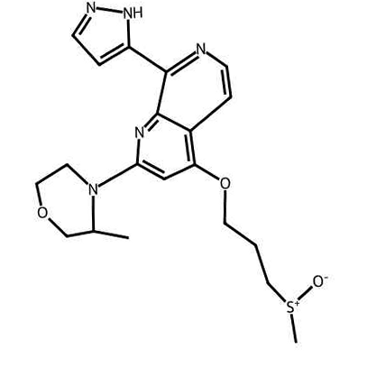 CC1COCCN1c1cc(OCCC[S+](C)[O-])c2ccnc(-c3ccn[nH]3)c2n1